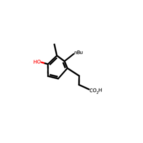 CCCCc1c(CCC(=O)O)ccc(O)c1C